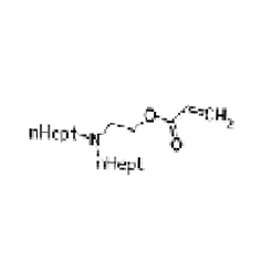 C=CC(=O)OCCN(CCCCCCC)CCCCCCC